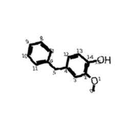 COc1cc(Cc2[c]cccc2)ccc1O